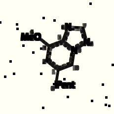 CCCC(C)c1cc(OC)c2ncnn2c1